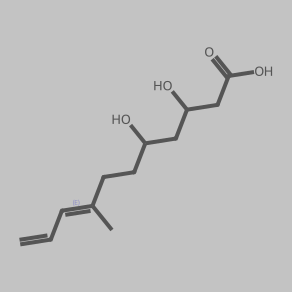 C=C/C=C(\C)CCC(O)CC(O)CC(=O)O